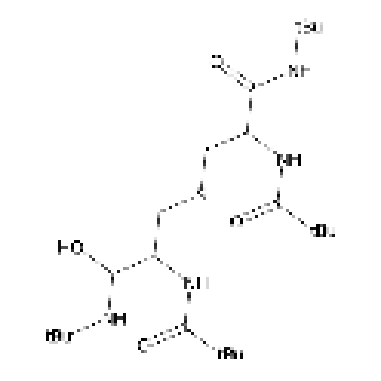 CC(C)(C)NC(=O)C(CSCC(NC(=O)C(C)(C)C)C(O)NC(C)(C)C)NC(=O)C(C)(C)C